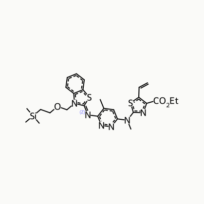 C=Cc1sc(N(C)c2cc(C)c(/N=c3\sc4ccccc4n3COCC[Si](C)(C)C)nn2)nc1C(=O)OCC